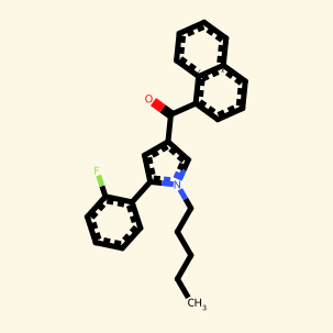 CCCCCn1cc(C(=O)c2cccc3ccccc23)cc1-c1ccccc1F